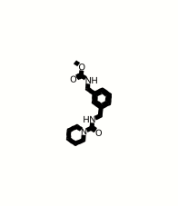 COC(=O)NCc1cccc(CNC(=O)N2CCCCC2)c1